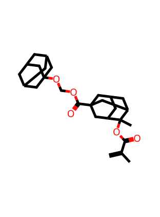 C=C(C)C(=O)OC1(C)C2CC3CC1CC(C(=O)OCOC14CC5CC(CC(C5)C1)C4)(C3)C2